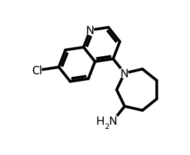 NC1CCCCN(c2ccnc3cc(Cl)ccc23)C1